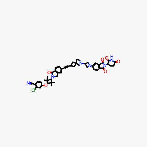 CC1(C)C(Oc2ccc(C#N)c(Cl)c2)C(C)(C)C1N1Cc2cc(C#CC3CC4(CCN(C5CN(c6ccc7c(c6)C(=O)N(C6CCC(=O)NC6=O)C7=O)C5)C4)C3)ccc2C1=O